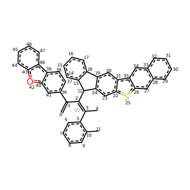 C=C(/C(=C(/C)c1ccccc1C)C1c2ccccc2-c2cc3c(cc21)sc1cc2ccccc2cc13)c1ccc2c(c1)oc1ccccc12